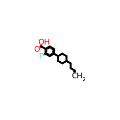 C=CCCC1CCC(c2ccc(C(=O)O)c(F)c2)CC1